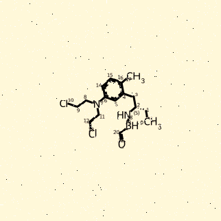 CC[C@@H](Cc1cc(N(CCCl)CCCl)ccc1C)NBC=O